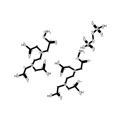 NOC(=O)CN(CCN(CC(=O)O)CC(=O)O)CC(=O)O.NOC(=O)CN(CCN(CC(=O)O)CC(=O)O)CC(=O)O.O=S(=O)(O)OOS(=O)(=O)O